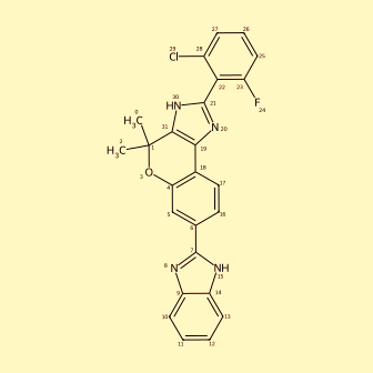 CC1(C)Oc2cc(-c3nc4ccccc4[nH]3)ccc2-c2nc(-c3c(F)cccc3Cl)[nH]c21